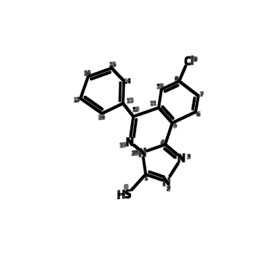 Sc1nnc2c3ccc(Cl)cc3c(-c3ccccc3)nn12